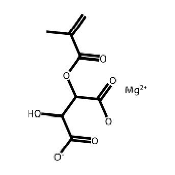 C=C(C)C(=O)OC(C(=O)[O-])C(O)C(=O)[O-].[Mg+2]